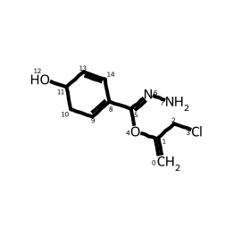 C=C(CCl)O/C(=N\N)C1=CCC(O)C=C1